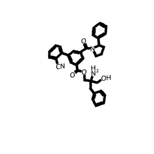 N#Cc1ccccc1-c1cc(C(=O)OCC(N)(CO)Cc2ccccc2)cc(C(=O)N2CCCC2c2ccccc2)c1